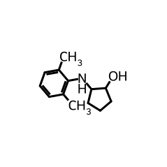 Cc1cccc(C)c1NC1CCCC1O